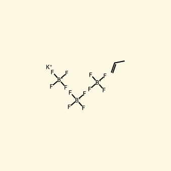 C=CC.F[B-](F)(F)F.F[B-](F)(F)F.F[B-](F)(F)F.[K+]